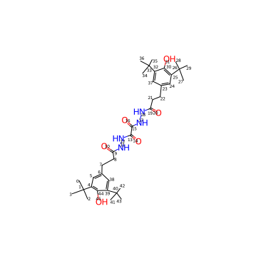 CC(C)(C)c1cc(CCC(=O)NNC(=O)C(=O)NNC(=O)CCc2cc(C(C)(C)C)c(O)c(C(C)(C)C)c2)cc(C(C)(C)C)c1O